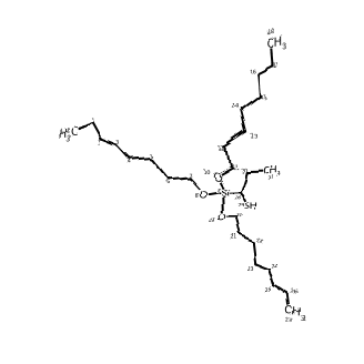 CCCCCCCCO[Si](OCCCCCCCC)(OCCCCCCCC)C(S)CC